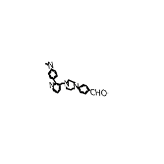 CN(C)c1ccc(-c2ncccc2CN2CCN(c3ccc([C]=O)cc3)CC2)cc1